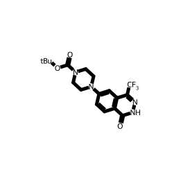 CC(C)(C)OC(=O)N1CCN(c2ccc3c(=O)[nH]nc(C(F)(F)F)c3c2)CC1